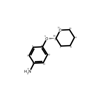 Nc1ccc(O[C@H]2CCCCO2)cc1